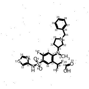 CN(c1cc(F)c(S(=O)(=O)Nc2cscn2)cc1C(F)F)C1CCN(Cc2ccccc2)C1.O=CO